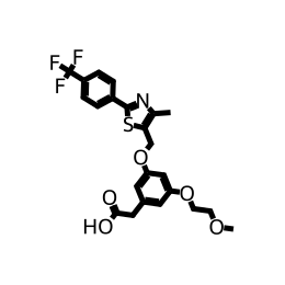 COCCOc1cc(CC(=O)O)cc(OCc2sc(-c3ccc(C(F)(F)F)cc3)nc2C)c1